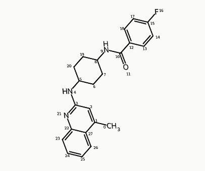 Cc1cc(NC2CCC(NC(=O)c3ccc(F)cc3)CC2)nc2ccccc12